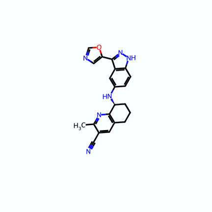 Cc1nc2c(cc1C#N)CCC[C@@H]2Nc1ccc2[nH]nc(-c3cnco3)c2c1